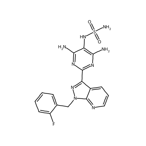 Nc1nc(-c2nn(Cc3ccccc3F)c3ncccc23)nc(N)c1NS(N)(=O)=O